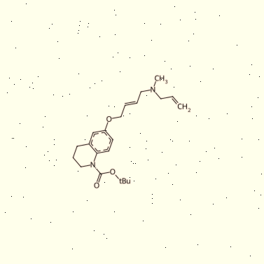 C=CCN(C)CC=CCOc1ccc2c(c1)CCCN2C(=O)OC(C)(C)C